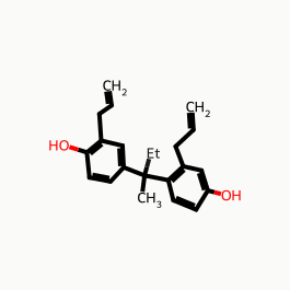 C=CCc1cc(C(C)(CC)c2ccc(O)cc2CC=C)ccc1O